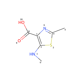 CNc1sc(C)nc1C(=O)O